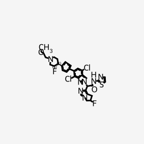 COCCN1CC[C@@H](c2ccc(-c3cc(Cl)c4cn(C(C(=O)Nc5nccs5)c5ncn6c5CC(F)C6)nc4c3Cl)cc2)[C@H](F)C1